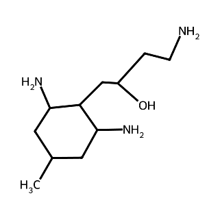 CC1CC(N)C(CC(O)CCN)C(N)C1